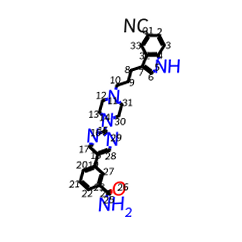 N#Cc1ccc2[nH]cc(CCCN3CCN(c4ncc(-c5cccc(C(N)=O)c5)cn4)CC3)c2c1